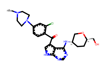 CCCCN1CCN(c2ccc(C(=O)c3c[nH]c4ncnc(N[C@H]5CC[C@@H](CO)OC5)c34)c(Cl)c2)CC1